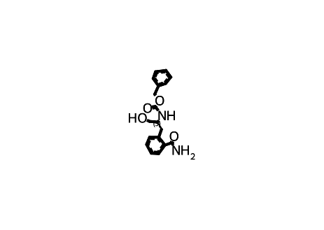 NC(=O)c1ccccc1C[C@@H](CO)NC(=O)OCc1ccccc1